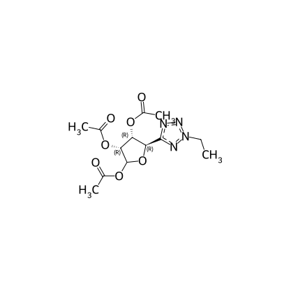 CCn1nnc([C@H]2OC(OC(C)=O)[C@H](OC(C)=O)[C@@H]2OC(C)=O)n1